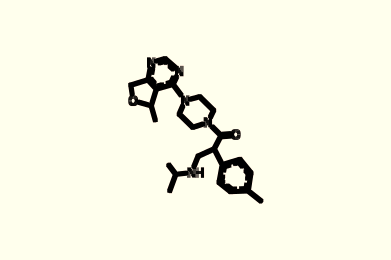 Cc1ccc(C(CNC(C)C)C(=O)N2CCN(c3ncnc4c3C(C)OC4)CC2)cc1